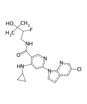 CC(C)(O)C(F)CNC(=O)c1cnc(-n2ccc3cc(Cl)cnc32)cc1NC1CC1